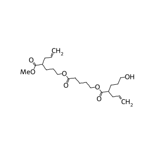 C=CCC(CCCOC(=O)CCCCOC(=O)C(CC=C)CCCO)C(=O)OC